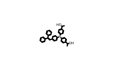 CC(O)c1ccc(N(c2ccc(C=C(c3ccccc3)c3ccccc3)cc2)c2ccc(C(C)O)cc2)cc1